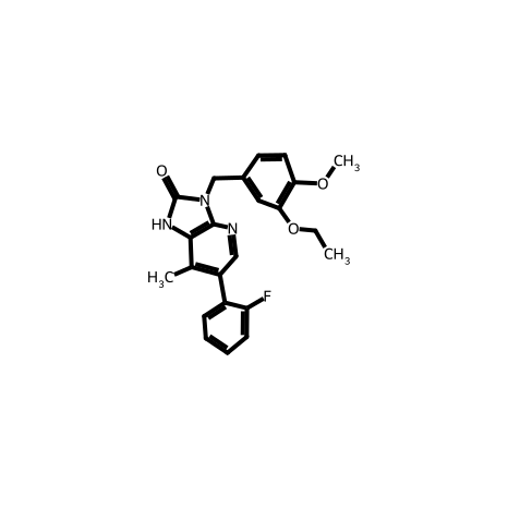 CCOc1cc(Cn2c(=O)[nH]c3c(C)c(-c4ccccc4F)cnc32)ccc1OC